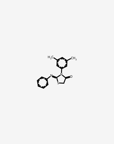 Cc1cc(C)cc(N2C(=O)CSC2=Nc2ccccc2)c1